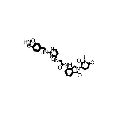 O=C1CCC(N2Cc3c(NC(=O)CNc4ccnc(NCc5ccc6c(c5)ONO6)n4)cccc3C2=O)C(=O)N1